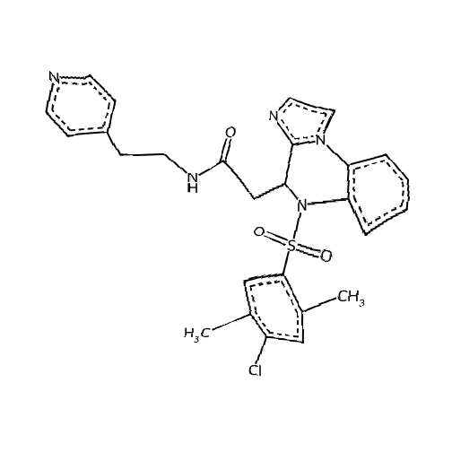 Cc1cc(S(=O)(=O)N2c3ccccc3-n3ccnc3C2CC(=O)NCCc2ccncc2)c(C)cc1Cl